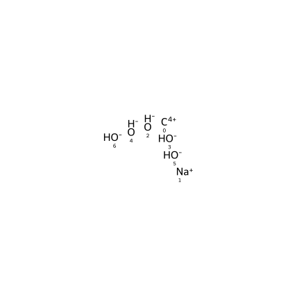 [C+4].[Na+].[OH-].[OH-].[OH-].[OH-].[OH-]